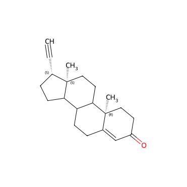 C#C[C@H]1CCC2C3CCC4=CC(=O)CC[C@]4(C)C3CC[C@@]21C